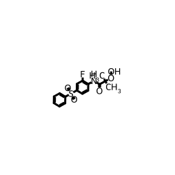 CC(C)(OO)C(=O)Nc1ccc(S(=O)(=O)c2ccccc2)cc1F